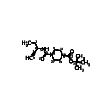 C#CC(CC)NC(=O)N1CCN(C(=O)OC(C)(C)C)CC1